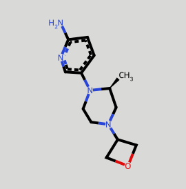 C[C@H]1CN(C2COC2)CCN1c1ccc(N)nc1